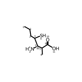 CCCC(S)[C@H](N)C(C)C(=O)O